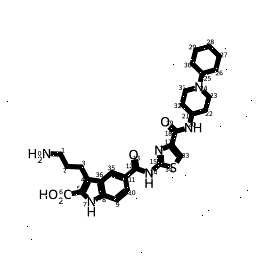 NCCCc1c(C(=O)O)[nH]c2ccc(C(=O)Nc3nc(C(=O)NC4CCN(C5CCCCC5)CC4)cs3)cc12